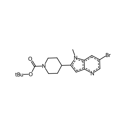 Cn1c(C2CCN(C(=O)OC(C)(C)C)CC2)cc2ncc(Br)cc21